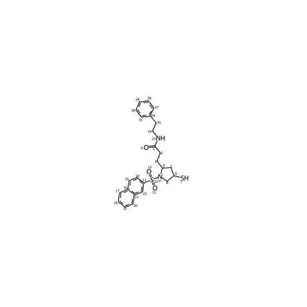 O=C(CCC1CC(S)CN1S(=O)(=O)c1ccc2ccccc2c1)NCCc1ccccc1